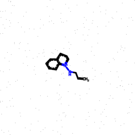 C=CCN[n+]1cccc2ccccc21